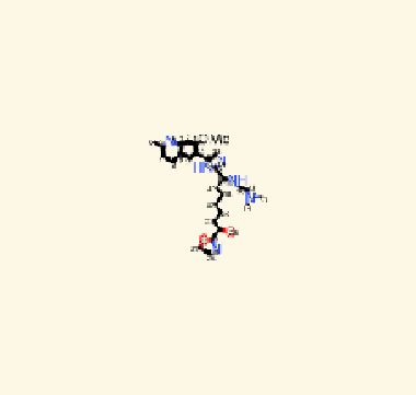 COc1cc2nc(C)ccc2cc1-c1cnc([C@H](CCCCCC(=O)c2ncco2)NCCN(C)C)[nH]1